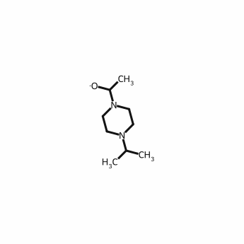 CC(C)N1CCN(C(C)[O])CC1